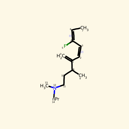 C=C(/C=C\C(F)=C/C)C(C)CCN(C)CCC